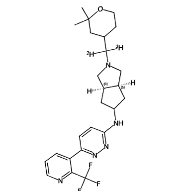 [2H]C([2H])(C1CCOC(C)(C)C1)N1C[C@H]2CC(Nc3ccc(-c4cccnc4C(F)(F)F)nn3)C[C@H]2C1